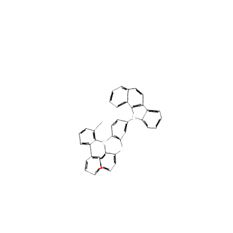 Cc1cccc(-c2ccccc2)c1B1c2ccccc2Sc2cc(-n3c4ccccc4c4ccc5ccccc5c43)ccc21